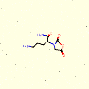 NCCC[C@@H](C(N)=O)N1CC(=O)OC1=O